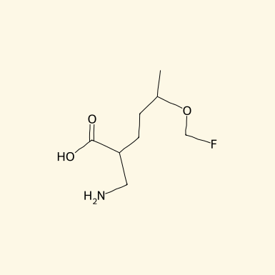 CC(CCC(CN)C(=O)O)OCF